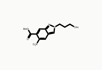 COC(=O)c1cc2nn(CCCOC(C)=O)cc2cc1[N+](=O)[O-]